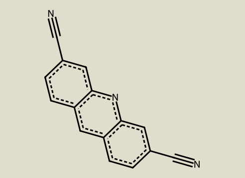 N#Cc1ccc2cc3ccc(C#N)cc3nc2c1